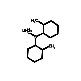 CB(C1CCCCC1C)C1CCCCC1C.[LiH]